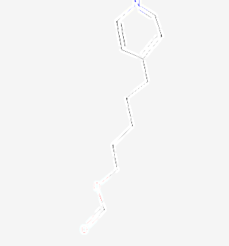 O=COCCCCCc1ccncc1